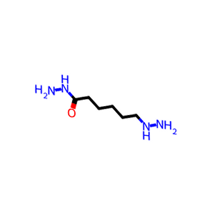 NNCCCCCC(=O)NN